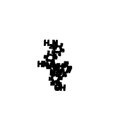 Nc1cccc(-c2ccc3[nH]nc(Nc4nc5ccc(CO)cc5n4C4CCCCC4)c3c2)c1